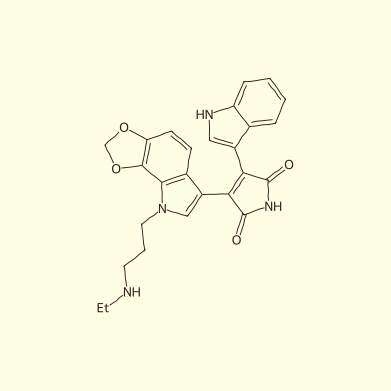 CCNCCCn1cc(C2=C(c3c[nH]c4ccccc34)C(=O)NC2=O)c2ccc3c(c21)OCO3